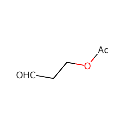 CC(=O)OCCC=O